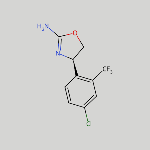 NC1=N[C@H](c2ccc(Cl)cc2C(F)(F)F)CO1